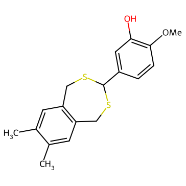 COc1ccc(C2SCc3cc(C)c(C)cc3CS2)cc1O